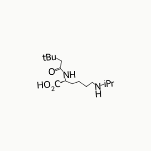 CC(C)NCCCC[C@H](NC(=O)CC(C)(C)C)C(=O)O